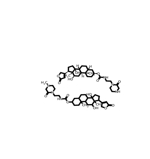 CN1CCN(CCNC(=O)OC2CCC3(C)C(CCC4C3CC(O)C3(C)C(C5=CC(=O)OC5)CCC43O)C2)C(=O)C1.C[C@]12CC[C@H](OC(=O)NCCN3CCNCC3=O)C[C@H]1CC[C@@H]1[C@@H]2C[C@@H](O)[C@]2(C)[C@@H](C3=CC(=O)OC3)CC[C@]12O